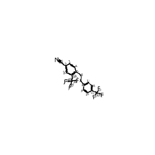 N#Cc1ccc(CCc2ccc(C(F)(F)F)cc2)c(C(F)(F)F)c1